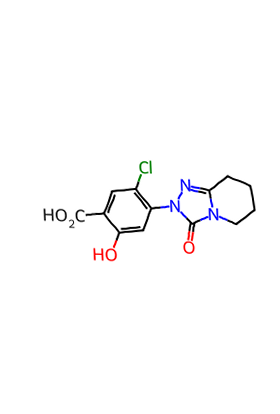 O=C(O)c1cc(Cl)c(-n2nc3n(c2=O)CCCC3)cc1O